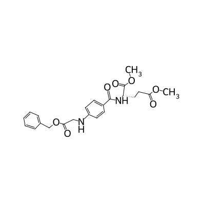 COC(=O)CC[C@H](NC(=O)c1ccc(NCC(=O)OCc2ccccc2)cc1)C(=O)OC